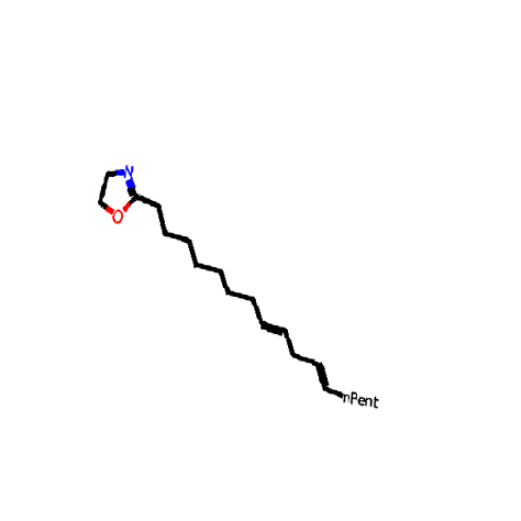 CCCCCC=CCC=CCCCCCCCC1=NCCO1